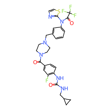 O=C(NCC1CC1)Nc1ccc(C(=O)N2CCN(Cc3cccc(N(C(=O)C(F)(F)F)c4nccs4)c3)CC2)cc1F